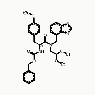 CCOC(CN(Cc1cccc2scnc12)C(=O)[C@H](Cc1ccc(OC(C)(C)C)cc1)NC(=O)OCc1ccccc1)OCC